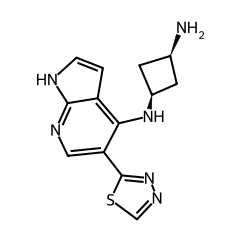 N[C@H]1C[C@@H](Nc2c(-c3nncs3)cnc3[nH]ccc23)C1